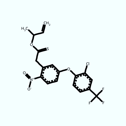 C=CC(C)OC(=S)Cc1cc(Oc2ccc(C(F)(F)F)cc2Cl)ccc1[N+](=O)[O-]